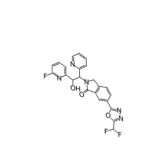 O=C1c2cc(-c3nnc(C(F)F)o3)ccc2CN1C(c1ccccn1)C(O)c1cccc(F)n1